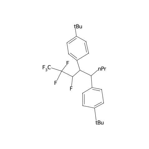 CCCC(c1ccc(C(C)(C)C)cc1)C(c1ccc(C(C)(C)C)cc1)C(F)C(F)(F)C(F)(F)F